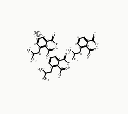 CC(C)Cc1cccc(C(=O)[O-])c1C(=O)[O-].CC(C)Cc1cccc(C(=O)[O-])c1C(=O)[O-].CC(C)Cc1cccc(C(=O)[O-])c1C(=O)[O-].[Nd+3].[Nd+3]